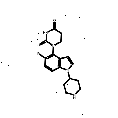 O=C1CCN(c2c(F)ccc3c2ccn3C2CCNCC2)C(=O)N1